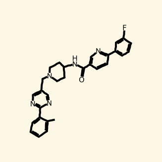 Cc1ccccc1-c1ncc(CN2CCC(NC(=O)c3ccc(-c4cccc(F)c4)nc3)CC2)cn1